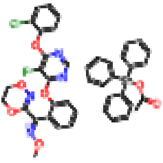 CC(=O)[O][Sn]([c]1ccccc1)([c]1ccccc1)[c]1ccccc1.CO/N=C(/C1=NOCCO1)c1ccccc1Oc1ncnc(Oc2ccccc2Cl)c1F